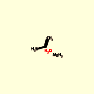 C=C[SiH3].O.[MgH2]